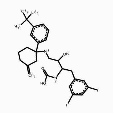 C=C1CCCC(NCC(O)C(Cc2cc(F)cc(F)c2)NC(=O)O)(c2cccc(C(C)(C)C)c2)C1